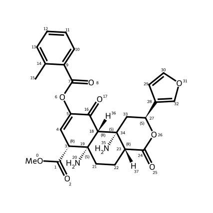 COC(=O)[C@@H]1C=C(OC(=O)c2ccccc2C)C(=O)[C@H]2[C@@]1(N)CC[C@H]1C(=O)O[C@H](c3ccoc3)C[C@]21N